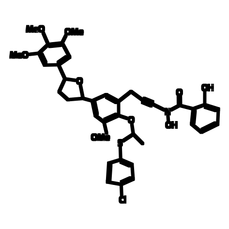 COc1cc(C2CCC(c3cc(OC)c(OC)c(OC)c3)O2)cc(CC#CN(O)C(=O)c2ccccc2O)c1OC(C)Sc1ccc(Cl)cc1